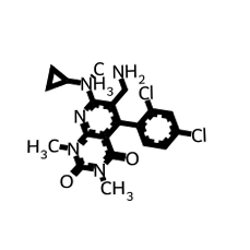 CN(c1nc2c(c(-c3ccc(Cl)cc3Cl)c1CN)c(=O)n(C)c(=O)n2C)C1CC1